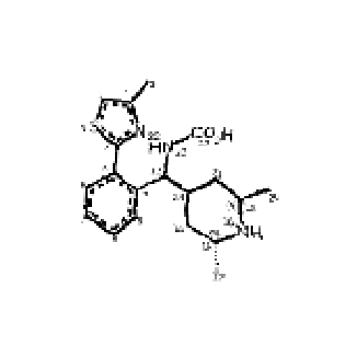 Cc1csc(-c2ccccc2C(NC(=O)O)C2C[C@@H](C)N[C@H](C)C2)n1